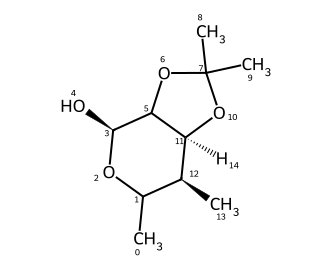 CC1O[C@@H](O)C2OC(C)(C)O[C@H]2[C@H]1C